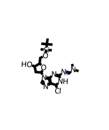 CN(C)/C=N/C1=Nc2c(ncn2C2CC(O)C(CO[Si](C)(C)C(C)(C)C)O2)C(Cl)N1